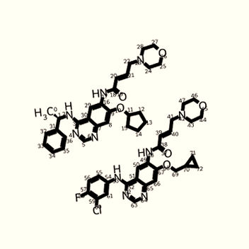 C[C@@H](Nc1ncnc2cc(OC3CCCC3)c(NC(=O)C=CCN3CCOCC3)cc12)c1ccccc1.O=C(C=CCN1CCOCC1)Nc1cc2c(Nc3ccc(F)c(Cl)c3)ncnc2cc1OCC1CC1